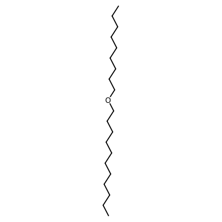 CCCCCCCCCCCOCCCCCCCCC